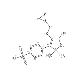 CC1(C)OC(O)C(OCC2CC2)=C1c1ccc(S(C)(=O)=O)cc1